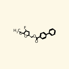 COC1O[C@H](COC(=O)c2ccc(-c3ccccc3)cc2)C[C@@H]1F